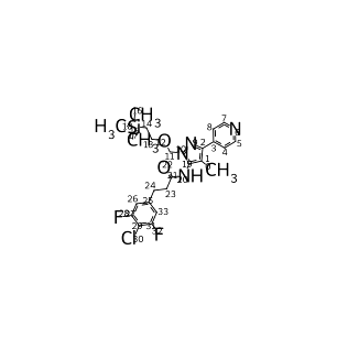 Cc1c(-c2ccncc2)nn(COCC[Si](C)(C)C)c1NC(=O)CCc1cc(F)c(Cl)c(F)c1